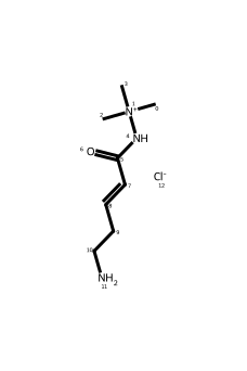 C[N+](C)(C)NC(=O)C=CCCN.[Cl-]